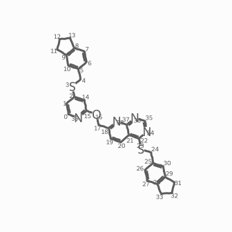 c1cc(SCc2ccc3c(c2)CCC3)cc(OCc2ccc3c(SCc4ccc5c(c4)CCC5)ncnc3n2)n1